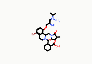 CC1CCN(CC2c3c(OC/C(N)=C/N(N)C(C)C)ccc(Br)c3CCN2C(=O)C2CCCCC2C(=O)O)C1=O